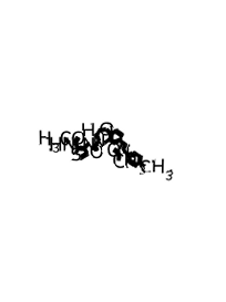 CNC(=O)c1sccc1NC(=O)N1CCOc2ccc(CN(C(C)=O)c3ccc(C)cc3)cc2C1